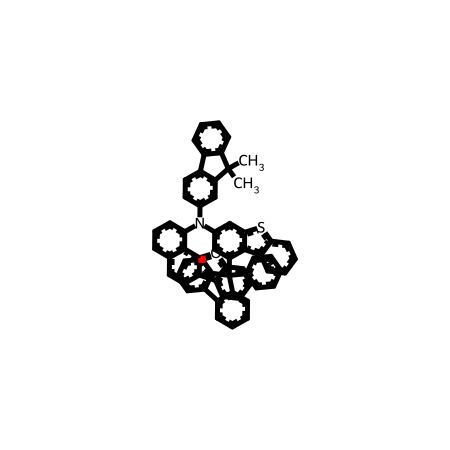 CC1(C)c2ccccc2-c2ccc(N(c3cc(C4(c5ccccc5)c5ccccc5-c5ccccc54)c4c(c3)sc3ccccc34)c3cccc4ccc5c6ccccc6oc5c34)cc21